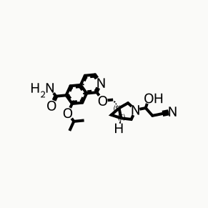 CC(C)Oc1cc2c(OC[C@@]34C[C@@H]3CN(C(O)CC#N)C4)nccc2cc1C(N)=O